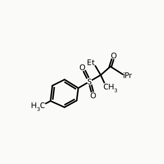 CCC(C)(C(=O)C(C)C)S(=O)(=O)c1ccc(C)cc1